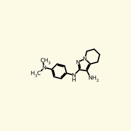 CN(C)c1ccc(Nc2nn3c(c2N)CCCC3)cc1